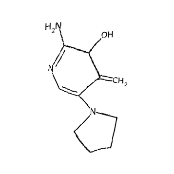 C=C1C(N2CCCC2)=CN=C(N)C1O